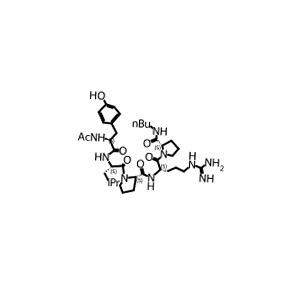 CCCCNC(=O)[C@@H]1CCCN1C(=O)[C@H](CCCNC(=N)N)NC(=O)[C@@H]1CCCN1C(=O)[C@H](CC(C)C)NC(=O)[C@H](Cc1ccc(O)cc1)NC(C)=O